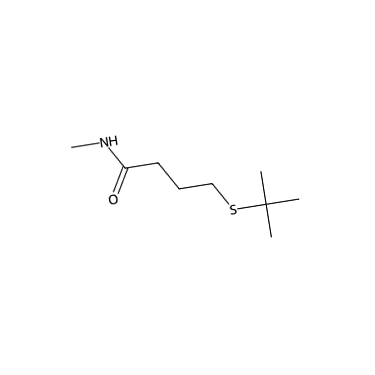 CNC(=O)CCCSC(C)(C)C